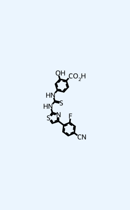 N#Cc1ccc(-c2csc(NC(=S)Nc3ccc(C(=O)O)c(O)c3)n2)c(F)c1